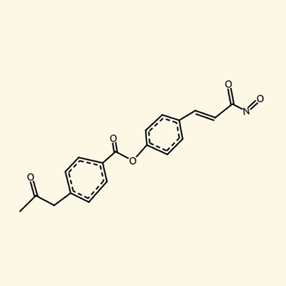 CC(=O)Cc1ccc(C(=O)Oc2ccc(/C=C/C(=O)N=O)cc2)cc1